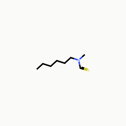 CCCCCCN(C)[C]=S